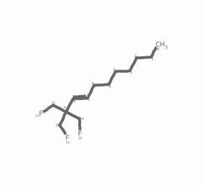 CCCCCCCC=CC(CF)(CF)CF